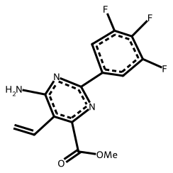 C=Cc1c(N)nc(-c2cc(F)c(F)c(F)c2)nc1C(=O)OC